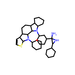 NC1(C2CCCC(N3C4CCCCC4C4CCC5C6C=CSC6N(C6CCCCC6)C5C43)C2)NC1C1CCCCC1